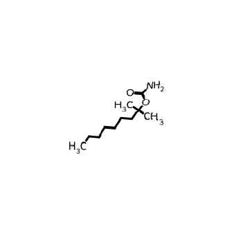 CCCCCCCC(C)(C)OC(N)=O